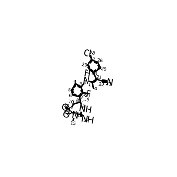 C/C(Nc1cccc([C@]2(C)CS(=O)(=O)N(C)C(=N)N2)c1F)=C(\C#N)c1ccc(Cl)cc1